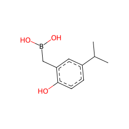 CC(C)c1ccc(O)c(CB(O)O)c1